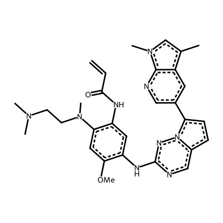 C=CC(=O)Nc1cc(Nc2ncc3ccc(-c4cnc5c(c4)c(C)cn5C)n3n2)c(OC)cc1N(C)CCN(C)C